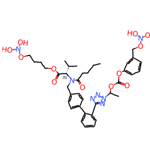 CCCCC(=O)N(Cc1ccc(-c2ccccc2-c2nnn(C(C)OC(=O)Oc3cccc(CON(O)O)c3)n2)cc1)[C@H](C(=O)OCCCCON(O)O)C(C)C